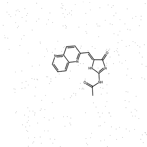 CC(=O)NC1=NC(=O)C(=Cc2ccc3ncccc3n2)N1